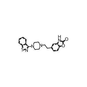 O=c1[nH]c2cc(CCN3CCN(c4nsc5ccccc45)CC3)ccc2o1